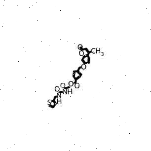 Cc1cc(=O)oc2cc(OCc3ccc(C(=O)OCC(=O)NC(=O)NCc4cccs4)cc3)ccc12